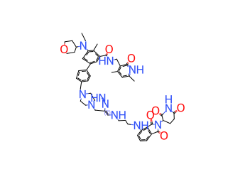 CCN(c1cc(-c2ccc(CN3CCN(C/C(=C/NCCCNc4cccc5c4C(=O)N(C4CCC(=O)NC4=O)C5=O)N=N)CC3)cc2)cc(C(=O)NCc2c(C)cc(C)[nH]c2=O)c1C)C1CCOCC1